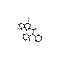 O=C(c1cc2[nH]ncc2c(F)n1)N(c1ccccc1)c1ncccn1